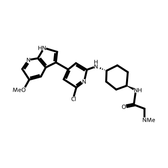 CNCC(=O)N[C@H]1CC[C@H](Nc2cc(-c3c[nH]c4ncc(OC)cc34)cc(Cl)n2)CC1